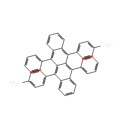 COc1ccc(-c2c3ccccc3c(-c3ccccc3)c3c(-c4ccc(OC)cc4)c4ccccc4c(-c4ccccc4)c23)cc1